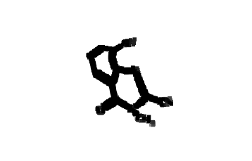 Cn1c(C#N)nc2c(O)cccc2c1=O